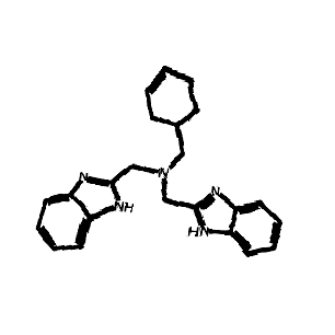 C1=CCC(CN(Cc2nc3ccccc3[nH]2)Cc2nc3ccccc3[nH]2)CC1